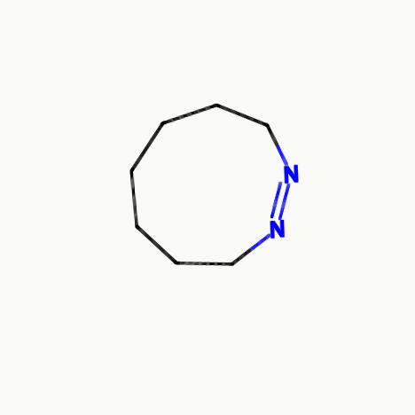 C1CCC/N=N\CCC1